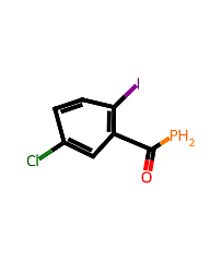 O=C(P)c1cc(Cl)ccc1I